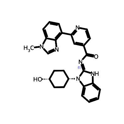 Cn1cnc2c(-c3cc(C(=O)/N=c4\[nH]c5ccccc5n4[C@H]4CC[C@@H](O)CC4)ccn3)cccc21